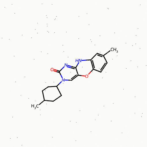 Cc1ccc2c(c1)Nc1nc(=O)n(C3CCC(C)CC3)cc1O2